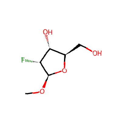 CO[C@@H]1O[C@H](CO)[C@@H](O)[C@H]1F